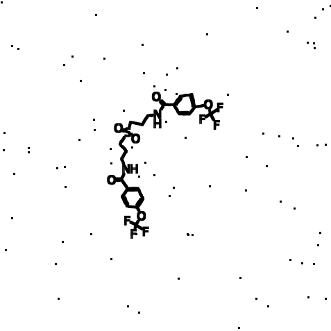 O=C(NCCCS(=O)(=O)CCCNC(=O)c1ccc(OC(F)(F)F)cc1)c1ccc(OC(F)(F)F)cc1